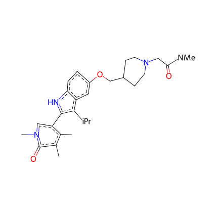 CNC(=O)CN1CCC(COc2ccc3[nH]c(-c4cn(C)c(=O)c(C)c4C)c(C(C)C)c3c2)CC1